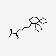 C=C(C)C(=O)OCCCC1CCC[Si](OC)(OC)C1(OC)OC